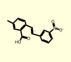 Cc1ccc(/C=C/c2cccc([N+](=O)[O-])c2)c(C(=O)O)c1